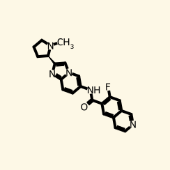 CN1CCC[C@@H]1c1cn2cc(NC(=O)c3cc4ccncc4cc3F)ccc2n1